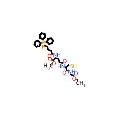 CCOC(=O)CNC(=O)C(CS)NC(=O)CCC(NC(=O)CCCC[PH](c1ccccc1)(c1ccccc1)c1ccccc1)C(=O)OC